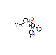 COC1CCCN(C(=O)c2cc(-c3ccccn3)n(-c3ccc(C)nc3)n2)C1